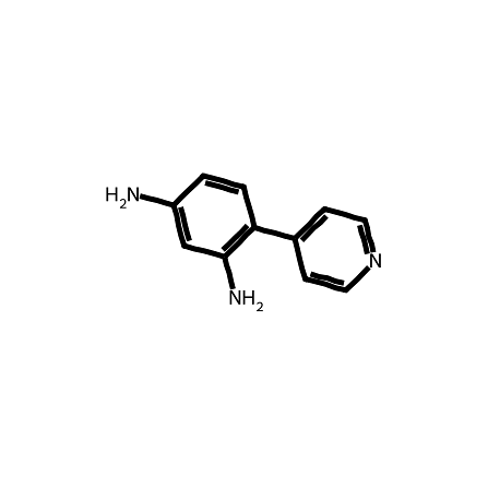 Nc1ccc(-c2ccncc2)c(N)c1